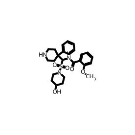 COc1ccccc1C(=O)NC(C1(c2ccccc2)CCNCC1)S(=O)(=O)N1CCC(O)CC1